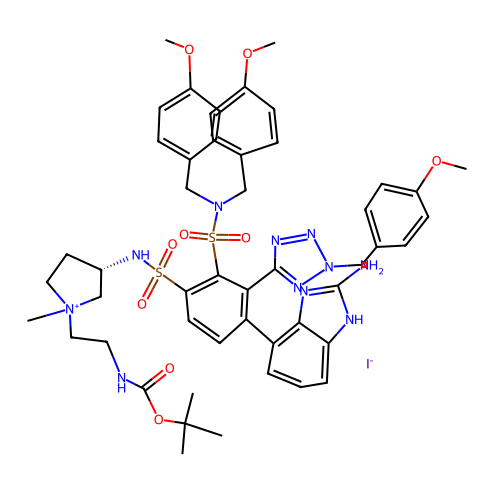 COc1ccc(CN(Cc2ccc(OC)cc2)S(=O)(=O)c2c(S(=O)(=O)N[C@H]3CC[N+](C)(CCNC(=O)OC(C)(C)C)C3)ccc(-c3cccc4[nH]c(N)nc34)c2-c2nnn(Cc3ccc(OC)cc3)n2)cc1.[I-]